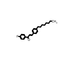 CCCCCCCCc1ccc(C=CC(=O)c2ccc(F)cc2)cc1